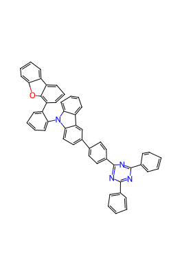 c1ccc(-c2nc(-c3ccccc3)nc(-c3ccc(-c4ccc5c(c4)c4ccccc4n5-c4ccccc4-c4cccc5c4oc4ccccc45)cc3)n2)cc1